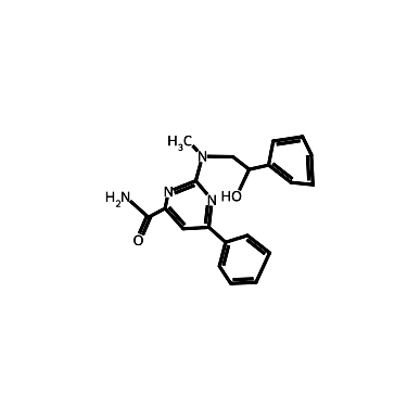 CN(CC(O)c1ccccc1)c1nc(C(N)=O)cc(-c2ccccc2)n1